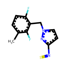 Cc1ccc(F)c(Cn2ccc(N=S)n2)c1F